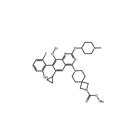 CCOc1c(-c2c(O)cccc2F)c(C2CC2)cc2c(N3CCC4(CC3)CN(C(=O)OC(C)(C)C)C4)nc(OC3CCN(C)CC3)nc12